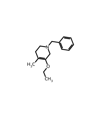 CCOC1=C(C)CCN(Cc2ccccc2)C1